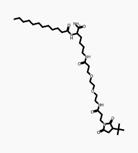 CCCCCCCCCCCC(=O)NC(CCCCNC(=O)CCOCCOCCNC(=O)CCN1C(=O)CC(C(C)(C)C)C1=O)C(N)=O